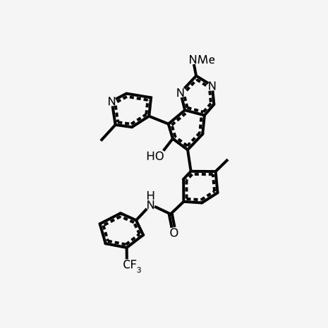 CNc1ncc2cc(-c3cc(C(=O)Nc4cccc(C(F)(F)F)c4)ccc3C)c(O)c(-c3ccnc(C)c3)c2n1